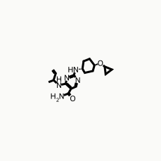 C=CC(C)Nc1nc(N[C@H]2CC[C@H](OC3CC3)CC2)ncc1C(N)=O